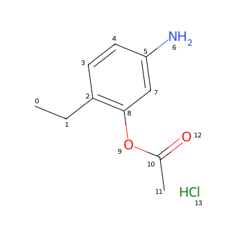 CCc1ccc(N)cc1OC(C)=O.Cl